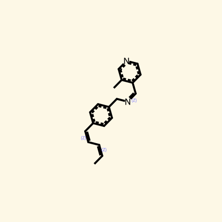 C/C=C\C=C/c1ccc(C/N=C\c2ccncc2C)cc1